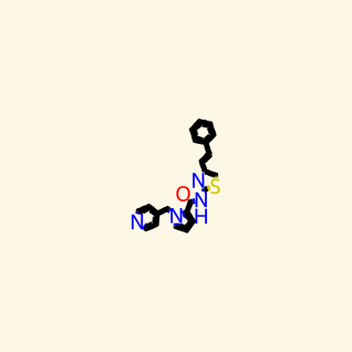 O=C(NC1=NC(/C=C/c2ccccc2)CS1)c1cccn1Cc1ccncc1